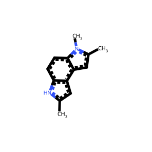 Cc1cc2c(ccc3c2cc(C)n3C)[nH]1